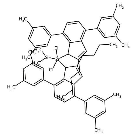 CCCCC1=Cc2c(-c3cc(C)cc(C)c3)ccc(-c3cc(C)cc(C)c3)c2[CH]1[Zr]([Cl])([Cl])([CH]1C(CCCC)=Cc2c(-c3cc(C)cc(C)c3)ccc(-c3cc(C)cc(C)c3)c21)[SiH](C)C